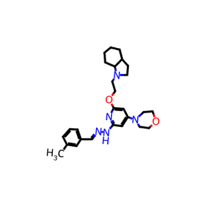 Cc1cccc(C=NNc2cc(N3CCOCC3)cc(OCCN3CCC4CCCCC43)n2)c1